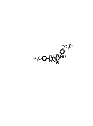 CCOC(=O)c1ccc(NC(=O)CS(=O)(=O)Cc2nc(-c3ccc(C)cc3)oc2C)cc1